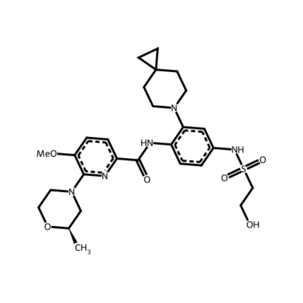 COc1ccc(C(=O)Nc2ccc(NS(=O)(=O)CCO)cc2N2CCC3(CC2)CC3)nc1N1CCO[C@H](C)C1